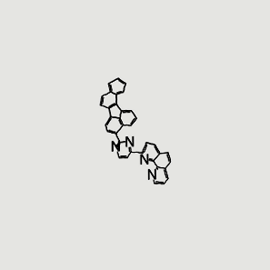 c1ccc2c3c(ccc2c1)-c1ccc(-c2nccc(-c4ccc5ccc6cccnc6c5n4)n2)c2cccc-3c12